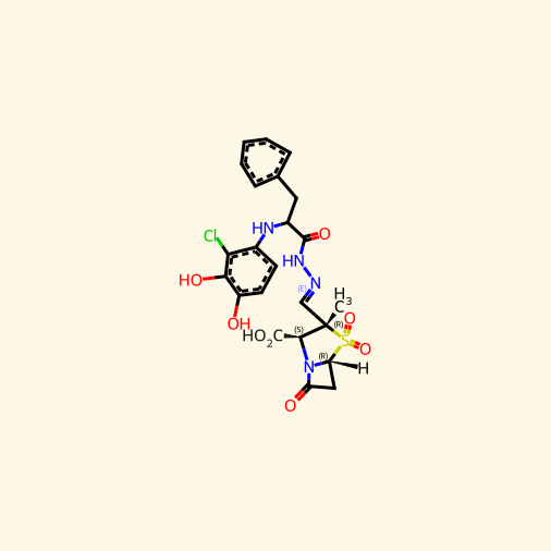 C[C@]1(/C=N/NC(=O)C(Cc2ccccc2)Nc2ccc(O)c(O)c2Cl)[C@H](C(=O)O)N2C(=O)C[C@H]2S1(=O)=O